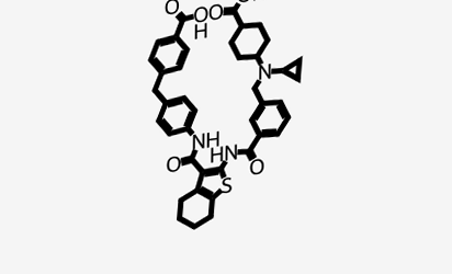 O=C(O)c1ccc(Cc2ccc(NC(=O)c3c(NC(=O)c4cccc(CN(C5CCC(C(=O)O)CC5)C5CC5)c4)sc4c3CCCC4)cc2)cc1